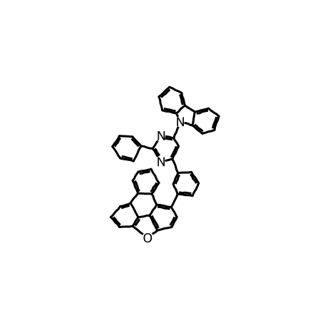 c1ccc(-c2nc(-c3cccc(-c4ccc5oc6cccc7c8ccccc8c4c5c67)c3)cc(-n3c4ccccc4c4ccccc43)n2)cc1